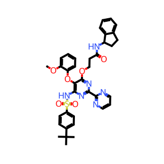 COc1ccccc1Oc1c(NS(=O)(=O)c2ccc(C(C)(C)C)cc2)nc(-c2ncccn2)nc1OCCC(=O)NC1CCc2ccccc21